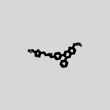 CSc1ccc2c(n1)C=C(c1ccc(CNCCc3nnc(N)s3)cc1)N(c1ccccc1)C2